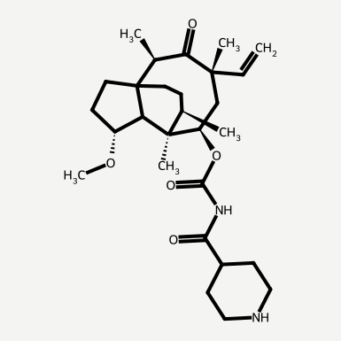 C=C[C@]1(C)C[C@@H](OC(=O)NC(=O)C2CCNCC2)[C@@]2(C)C3[C@H](OC)CCC3(CC[C@H]2C)[C@@H](C)C1=O